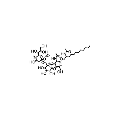 CCCCCCCCCCC(CO[C@@H]1OC(CO)[C@@H](O[C@@H]2OC(CO[C@]3(OC=O)C[C@@H](O)[C@@H](C)C([C@H](O)[C@H](O)CO)O3)[C@H](O)[C@H](O)C2O)[C@H](O)C1NC(C)=O)NC(C)=O